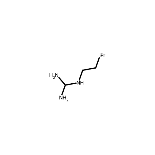 CC(C)CCNC(N)N